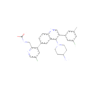 Cc1cc(F)cc(-c2cnc3ccc(-c4cc(F)cnc4CNC(=O)O)cc3c2N2CCC(N)CC2)c1